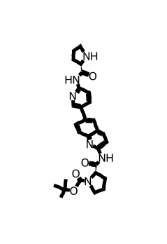 CC(C)(C)OC(=O)N1CCC[C@H]1C(=O)Nc1ccc2cc(-c3ccc(NC(=O)[C@@H]4CCCN4)nc3)ccc2n1